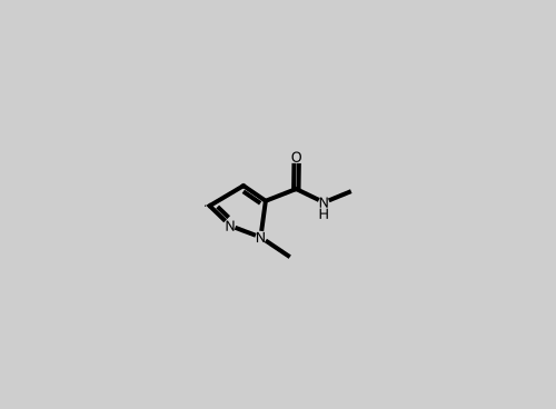 CNC(=O)c1c[c]nn1C